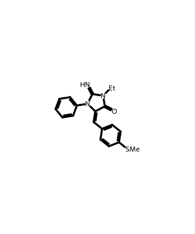 CCN1C(=N)N(c2ccccc2)/C(=C/c2ccc(SC)cc2)C1=O